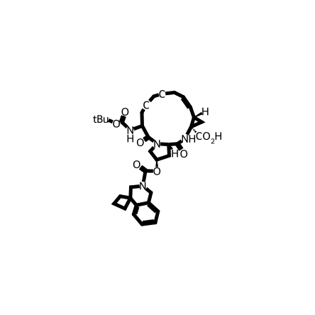 CC(C)(C)OC(=O)NC1CCCCC/C=C\[C@@H]2C[C@@]2(C(=O)O)NC(=O)[C@@H]2C[C@@H](OC(=O)N3Cc4ccccc4C4(CCC4)C3)CN2C1=O